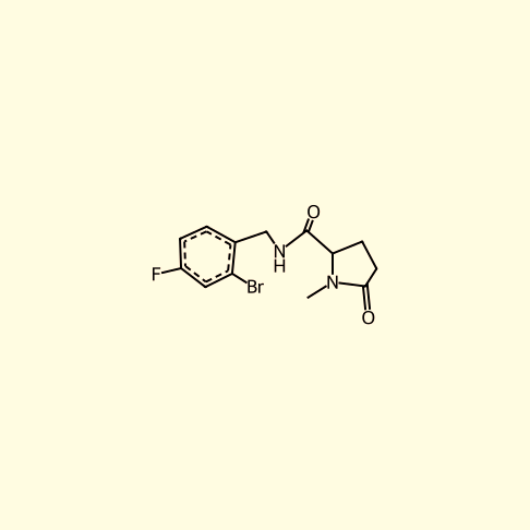 CN1C(=O)CCC1C(=O)NCc1ccc(F)cc1Br